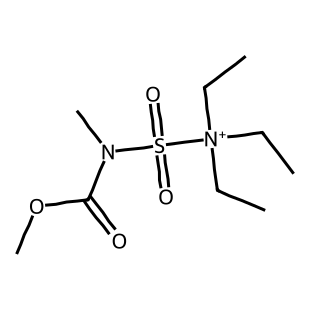 CC[N+](CC)(CC)S(=O)(=O)N(C)C(=O)OC